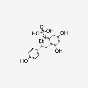 CCC(CC1=C(O)C=C(O)CC1=NP(=O)(O)O)c1ccc(O)cc1